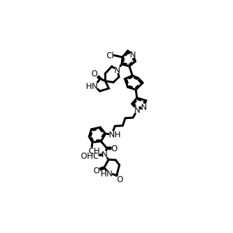 Cc1cccc(NCCCCn2cc(-c3ccc(-c4cncc(Cl)c4N4CCC5(CCNC5=O)CC4)cc3)cn2)c1C(=O)N(C=O)C1CCC(=O)NC1=O